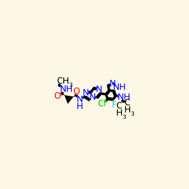 CCNC(=O)[C@H]1C[C@H]1C(=O)Nc1cn2cc(-c3c(Cl)c(F)c(NC(C)C)c4[nH]ncc34)ncc2n1